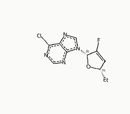 CC[C@H]1C=C(F)[C@@H](n2cnc3c(Cl)ncnc32)O1